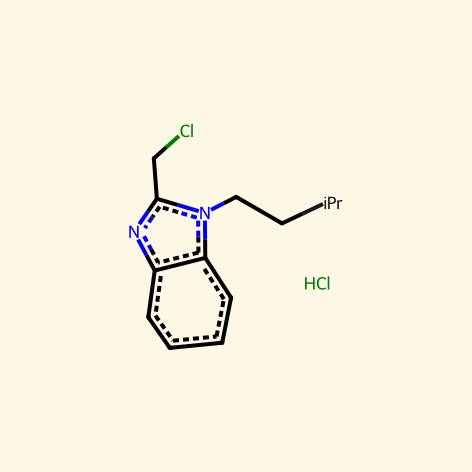 CC(C)CCn1c(CCl)nc2ccccc21.Cl